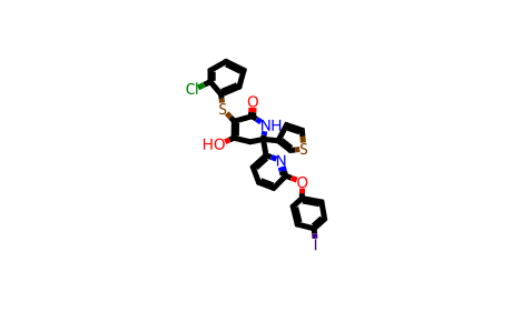 O=C1NC(c2ccsc2)(c2cccc(Oc3ccc(I)cc3)n2)CC(O)=C1Sc1ccccc1Cl